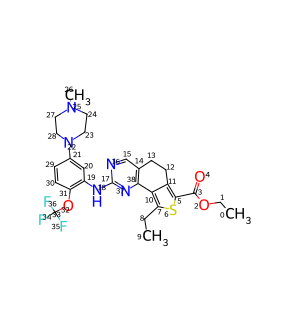 CCOC(=O)c1sc(CC)c2c1CCc1cnc(Nc3cc(N4CCN(C)CC4)ccc3OC(F)(F)F)nc1-2